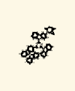 CC1CC2CC23CC3N1c1ccc2c(c1)c1ccccc1n2-c1nc(-c2cccc(S(c3ccccc3)(c3ccccc3)c3ccccc3)c2)nc(-n2c3ccccc3c3ccccc32)n1